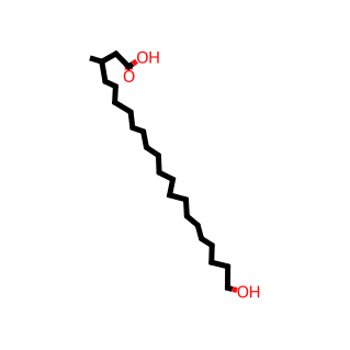 CC(CCCCCCCCCCCCCCCCCCCO)CC(=O)O